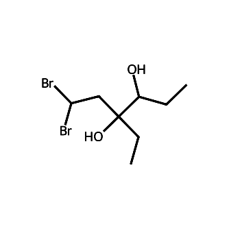 CCC(O)C(O)(CC)CC(Br)Br